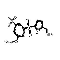 CC(C)(C)Oc1cc(S(C)(=O)=O)cc(S(=O)(=O)c2ccc(CN)s2)c1